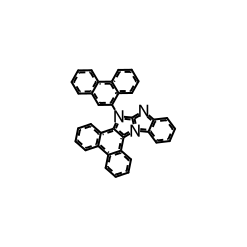 c1ccc2c(c1)cc(-n1c3c4ccccc4c4ccccc4c3n3c4ccccc4nc13)c1ccccc12